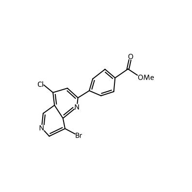 COC(=O)c1ccc(-c2cc(Cl)c3cncc(Br)c3n2)cc1